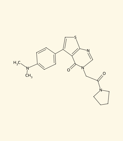 CN(C)c1ccc(-c2csc3ncn(CC(=O)N4CCCC4)c(=O)c23)cc1